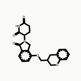 O=C1CCC(N2Cc3c(OCC4COc5ccccc5C4)cccc3C2=O)C(=O)N1